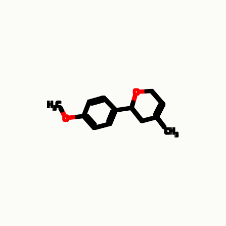 COc1ccc(C2CC(C)=CCO2)cc1